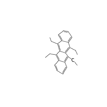 CCc1c2ccccc2c(CC)c2c(CC)c3ccccc3c(CC)c12